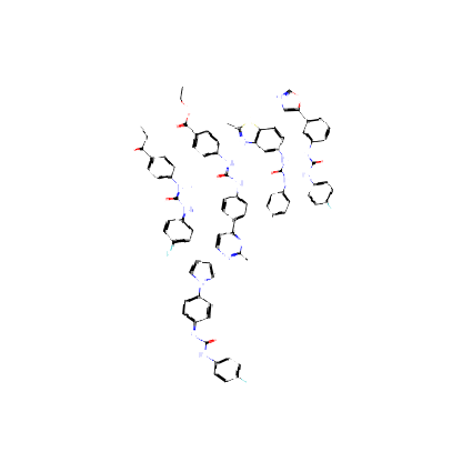 CCC(=O)c1ccc(NC(=O)Nc2ccc(F)cc2)cc1.CCOC(=O)c1ccc(NC(=O)Nc2ccc(-c3ccnc(C)n3)cc2)cc1.Cc1nc2cc(NC(=O)Nc3ccc(F)cc3)ccc2s1.O=C(Nc1ccc(F)cc1)Nc1ccc(-n2cccc2)cc1.O=C(Nc1ccc(F)cc1)Nc1cccc(-c2cnco2)c1